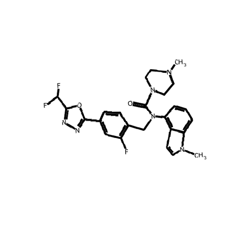 CN1CCN(C(=O)N(Cc2ccc(-c3nnc(C(F)F)o3)cc2F)c2cccc3c2ccn3C)CC1